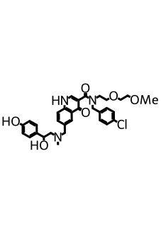 COCCOCCN(Cc1ccc(Cl)cc1)C(=O)c1c[nH]c2ccc(CN(C)CC(O)c3ccc(O)cc3)cc2c1=O